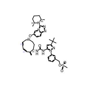 C=C1/C=C\C=C/C[C@H](Oc2ccc3nnc(N4[C@H](C)CCC[C@@H]4C)n3c2)CC[C@@H]1NC(=O)Nc1cc(C(C)(C)C)nn1-c1cccc(COS(C)(=O)=O)c1